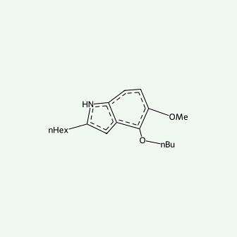 CCCCCCc1cc2c(OCCCC)c(OC)ccc2[nH]1